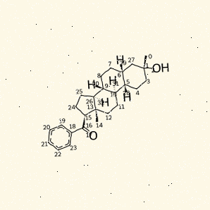 C[C@@]1(O)CC[C@H]2[C@H](CC[C@@H]3[C@@H]2CC[C@]2(C)[C@@H](C(=O)c4ccccc4)CC[C@@H]32)C1